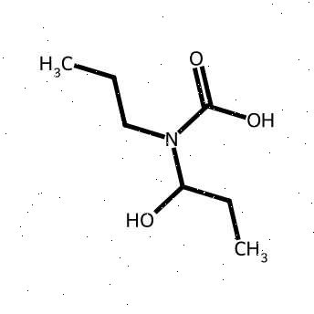 CCCN(C(=O)O)C(O)CC